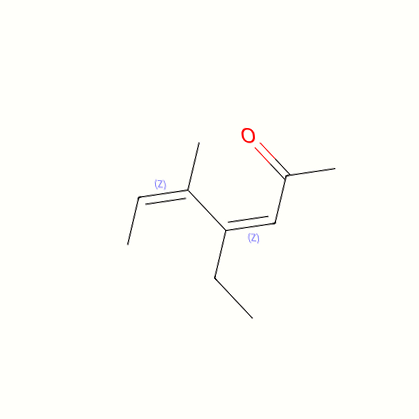 C/C=C(C)\C(=C/C(C)=O)CC